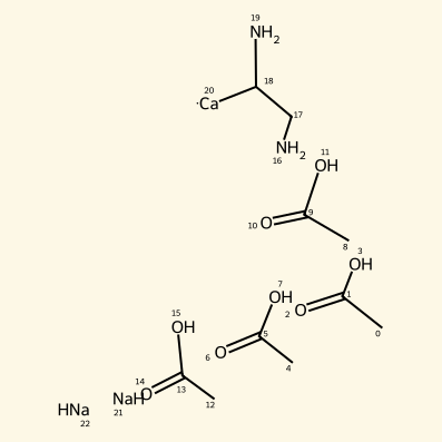 CC(=O)O.CC(=O)O.CC(=O)O.CC(=O)O.NC[CH](N)[Ca].[NaH].[NaH]